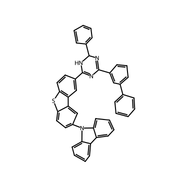 c1ccc(-c2cccc(C3=NC(c4ccccc4)NC(c4ccc5sc6ccc(-n7c8ccccc8c8ccccc87)cc6c5c4)=N3)c2)cc1